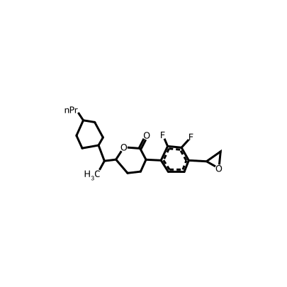 CCCC1CCC(C(C)C2CCC(c3ccc(C4CO4)c(F)c3F)C(=O)O2)CC1